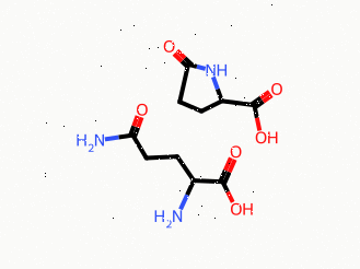 NC(=O)CCC(N)C(=O)O.O=C1CCC(C(=O)O)N1